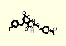 CC(=O)N1CCC(=NOc2nc3oc(=O)cc(Cc4cccc(F)c4)c3c(=O)[nH]2)CC1